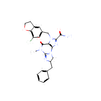 CCN1C(=O)c2c(nc(C(N)=O)n2Cc2cc(Cl)c3c(c2)CCO3)N2CC(Cc3ccccc3)N=C12